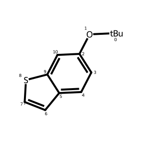 CC(C)(C)Oc1ccc2c[c]sc2c1